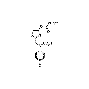 CCCCCCCC(=O)OC1CSC(CN(C(=O)O)c2ccc(Cl)cc2)=N1